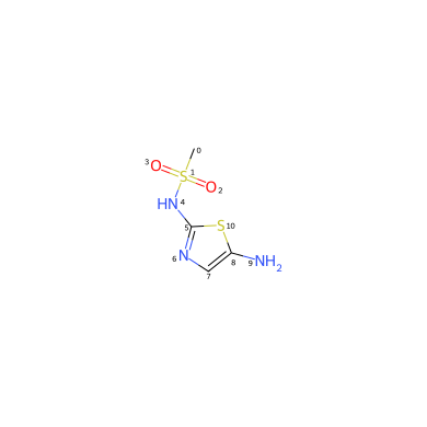 CS(=O)(=O)Nc1ncc(N)s1